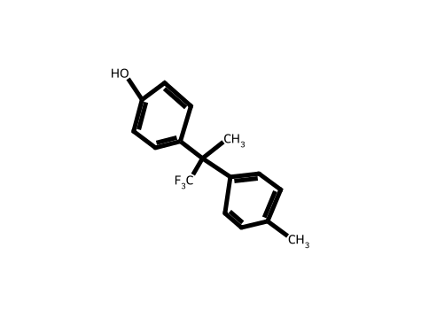 Cc1ccc(C(C)(c2ccc(O)cc2)C(F)(F)F)cc1